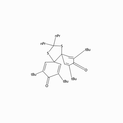 CCCC1(CCC)SC2(C=C(C(C)(C)C)C(=O)C(C(C)(C)C)=C2)C2(C=C(C(C)(C)C)C(=O)C(C(C)(C)C)=C2)S1